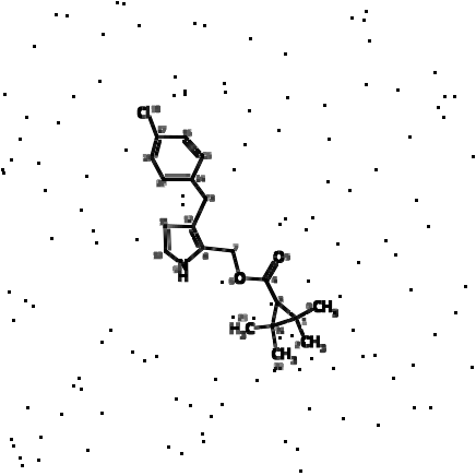 CC1(C)C(C(=O)OCc2[nH]ccc2Cc2ccc(Cl)cc2)C1(C)C